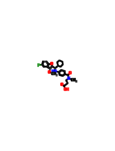 COc1c(C(Nc2ccc(C(=O)N(C)CCC(=O)O)cc2)C2CCCCC2)oc2ccc(F)cc12